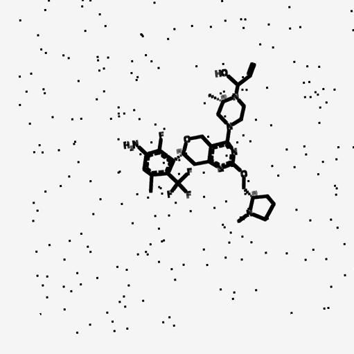 C=CC(O)N1CCN(c2nc(OC[C@@H]3CCCN3C)nc3c2CO[C@@H](c2c(F)c(N)cc(C)c2C(F)(F)F)C3)C[C@@H]1C